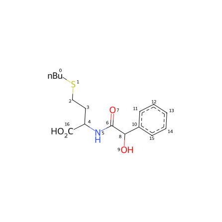 CCCCSCCC(NC(=O)C(O)c1ccccc1)C(=O)O